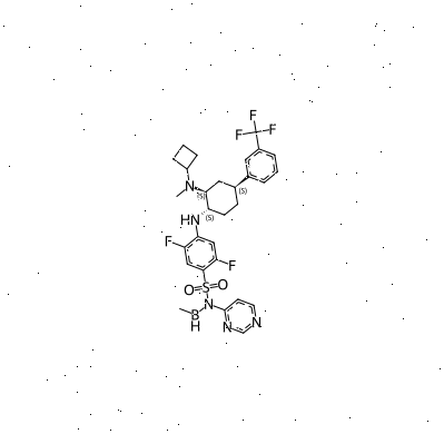 CBN(c1ccncn1)S(=O)(=O)c1cc(F)c(N[C@H]2CC[C@H](c3cccc(C(F)(F)F)c3)C[C@@H]2N(C)C2CCC2)cc1F